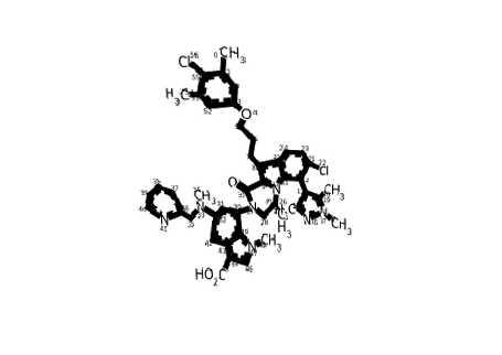 Cc1cc(OCCCc2c3n(c4c(-c5c(C)nn(C)c5C)c(Cl)ccc24)[C@H](C)CN(c2cc(N(C)Cc4ccccn4)cc4c(C(=O)O)cn(C)c24)C3=O)cc(C)c1Cl